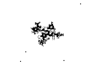 Cn1nc(NS(C)(=O)=O)c2c(Cl)ccc(-c3cc4[nH]c(C(C)(C)O)nc4nc3[C@H](Cc3cc(F)cc(F)c3)NC(=O)Cn3nc(C(F)F)c4c3C(F)(F)[C@@H]3CC43)c21